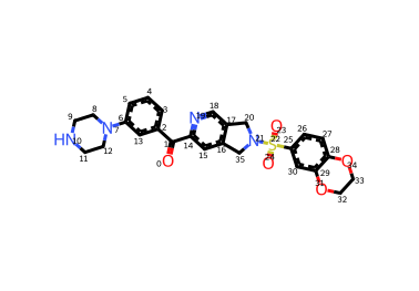 O=C(c1cccc(N2CCNCC2)c1)c1cc2c(cn1)CN(S(=O)(=O)c1ccc3c(c1)OCCO3)C2